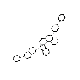 C1=CC2=C(CC1)C([C@H]1C=CC(c3ccccc3)CC1)=CC1C=Cc3c(c4ccccc4n3C3=CC4C=CC(c5ccccc5)=CC4CC3)C21